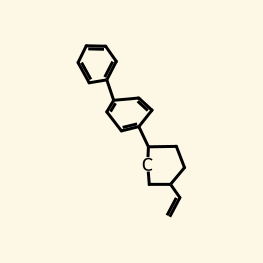 C=CC1CCC(c2ccc(-c3ccccc3)cc2)CC1